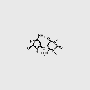 Cn1c(N)cc(=O)n(C)c1=O.Nc1cc(=O)[nH]c(=O)[nH]1